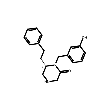 O=C1CNC[C@H](CCc2ccccc2)N1Cc1cccc(O)c1